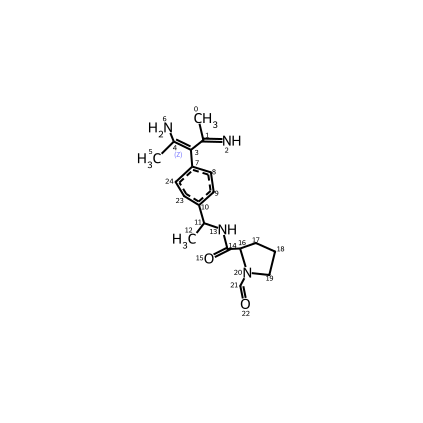 CC(=N)/C(=C(/C)N)c1ccc(C(C)NC(=O)C2CCCN2C=O)cc1